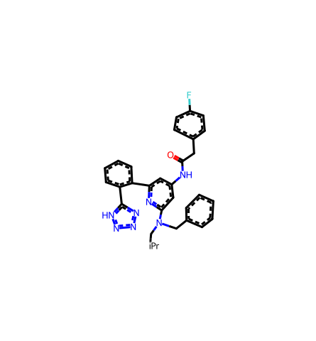 CC(C)CN(Cc1ccccc1)c1cc(NC(=O)Cc2ccc(F)cc2)cc(-c2ccccc2-c2nnn[nH]2)n1